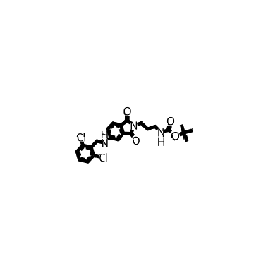 CC(C)(C)OC(=O)NCCCN1C(=O)c2ccc(NCc3c(Cl)cccc3Cl)cc2C1=O